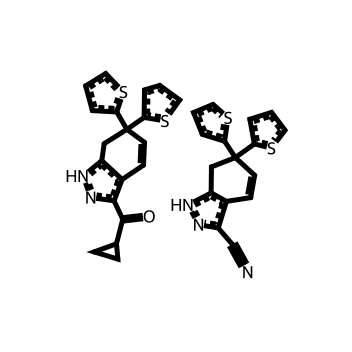 N#Cc1n[nH]c2c1C=CC(c1cccs1)(c1cccs1)C2.O=C(c1n[nH]c2c1C=CC(c1cccs1)(c1cccs1)C2)C1CC1